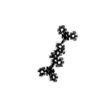 CC1(C)c2cc(C#Cc3nc(-c4ccccc4)nc(-c4ccccc4)n3)ccc2-c2cc3c(cc21)-c1c(cc(C#Cc2nc(-c4ccccc4)nc(-c4ccccc4)n2)c2ccccc12)C3(C)C